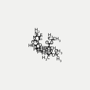 CC(C)OC(=O)[C@H](C)NP(=O)(N[C@@H](C)C(=O)OC(C)C)OC[C@@]1(C(F)F)O[C@@H](n2cc(F)c(N)nc2=O)[C@H](O)C1(F)F